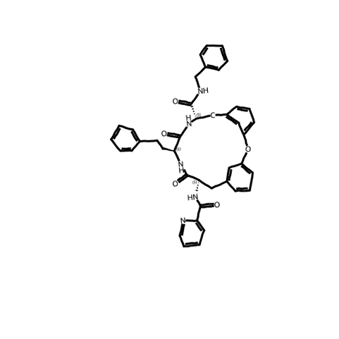 O=C(N[C@H]1Cc2cccc(c2)Oc2cccc(c2)C[C@@H](C(=O)NCc2ccccc2)NC(=O)[C@H](CCc2ccccc2)NC1=O)c1ccccn1